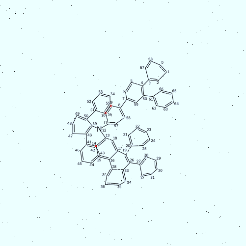 c1ccc(-c2ccc(-c3ccc(N(c4ccc5c(c4)c(-c4ccccc4)c(-c4ccccc4)c4ccccc45)c4c(-c5ccccc5)cccc4-c4ccccc4)cc3)cc2-c2ccccc2)cc1